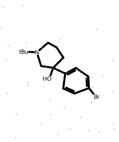 CC(C)(C)N1CCCC(O)(c2ccc(Br)cc2)C1